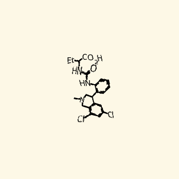 CCC(NC(=O)Nc1ccccc1C1CN(C)Cc2c(Cl)cc(Cl)cc21)C(=O)O